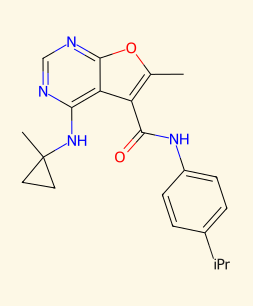 Cc1oc2ncnc(NC3(C)CC3)c2c1C(=O)Nc1ccc(C(C)C)cc1